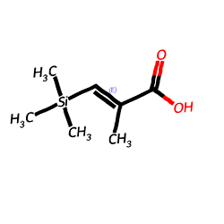 C/C(=C\[Si](C)(C)C)C(=O)O